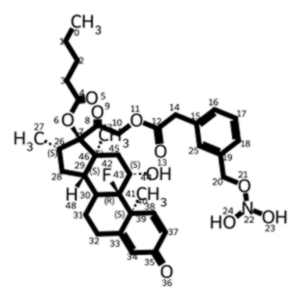 CCCCC(=O)O[C@]1(C(=O)COC(=O)Cc2cccc(CON(O)O)c2)[C@@H](C)C[C@H]2C3CCC4=CC(=O)C=C[C@]4(C)[C@@]3(F)[C@@H](O)C[C@@]21C